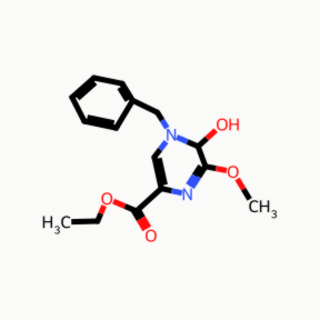 CCOC(=O)C1=CN(Cc2ccccc2)C(O)C(OC)=N1